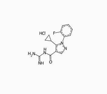 Cl.N=C(N)NC(=O)c1cnn(-c2ccccc2F)c1C1CC1